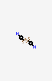 N#Cc1ccc(C(=S)SSC(=S)c2ccc(C#N)cc2)cc1